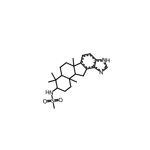 CC12CCC3C(C)(C)C(NS(C)(=O)=O)CCC3(C)C1Cc1c2ccc2[nH]cnc12